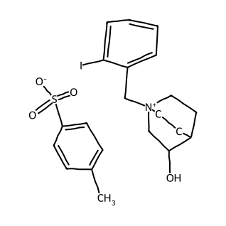 Cc1ccc(S(=O)(=O)[O-])cc1.OC1C[N+]2(Cc3ccccc3I)CCC1CC2